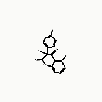 O=C1Nc2cccc(F)c2C(=O)C1(Cl)c1ccc(F)cc1